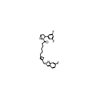 O=C(CCCCCC12CC(Cn3cc4ccc(F)cc4n3)(C1)C2)N1N=CCC1c1cc(F)cc(F)c1